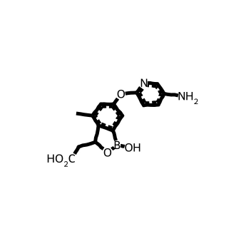 Cc1cc(Oc2ccc(N)cn2)cc2c1C(CC(=O)O)OB2O